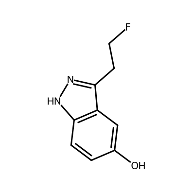 Oc1ccc2[nH]nc(CCF)c2c1